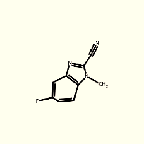 Cn1c(C#N)nc2cc(F)ccc21